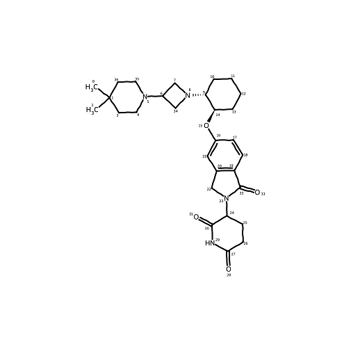 CC1(C)CCN(C2CN([C@@H]3CCCC[C@H]3Oc3ccc4c(c3)CN(C3CCC(=O)NC3=O)C4=O)C2)CC1